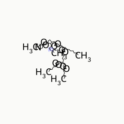 CC/C=C\CC1C(CC(=O)OCCC(CCCCCCCC)OC(=O)CCCCC(COC(=O)CCCCC)COC(=O)CCCCC)CCC1OC(=O)C1CCN(C)C1